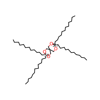 CCCCCCCCCCC[CH2][Sn]1([CH2]CCCCCCCCCCC)[O]CC2(C[O]1)C[O][Sn]([CH2]CCCCCCCCCCC)([CH2]CCCCCCCCCCC)[O]C2